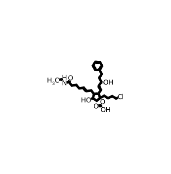 CCNC(=O)CCCC=CCC1C(O)CC(CCCCCl)(OC(=O)O)C1C=C[C@@H](O)CCc1ccccc1